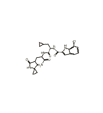 NC(=O)C(CC1CC2(CC2)NC1=O)NC(=O)C(CC1CC1)NC(=O)c1cc2cccc(Cl)c2[nH]1